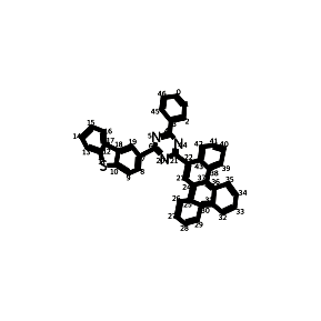 c1ccc(-c2nc(-c3ccc4sc5ccccc5c4c3)nc(-c3cc4c5ccccc5c5ccccc5c4c4ccccc34)n2)cc1